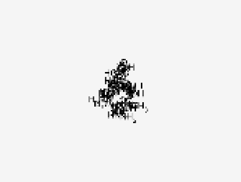 C=CC[n+]1cn([C@@H]2O[C@H](COP(=O)(O)OP(=O)(O)OP(=O)(O)OC[C@H]3O[C@@H](n4cnc5c(N)ncnc54)[C@H](OC)[C@@H]3P(=O)([O-])OC[C@H]3O[C@@H](n4ccc(=O)[nH]c4=O)[C@H](O)[C@@H]3O)[C@@H](COC)[C@H]2O)c2nc(N)[nH]c(=O)c21